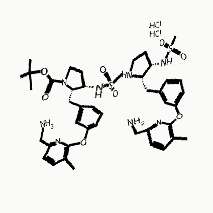 Cc1ccc(CN)nc1Oc1cccc(C[C@@H]2NCC[C@@H]2NS(C)(=O)=O)c1.Cc1ccc(CN)nc1Oc1cccc(C[C@H]2[C@@H](NS(C)(=O)=O)CCN2C(=O)OC(C)(C)C)c1.Cl.Cl